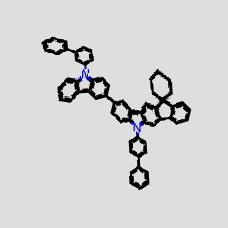 c1ccc(-c2ccc(-n3c4ccc(-c5ccc6c(c5)c5ccccc5n6-c5cccc(-c6ccccc6)c5)cc4c4cc5c(cc43)-c3ccccc3C53CCCCC3)cc2)cc1